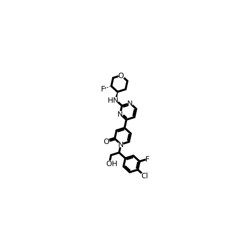 O=c1cc(-c2ccnc(N[C@@H]3CCOC[C@H]3F)n2)ccn1C(CO)c1ccc(Cl)c(F)c1